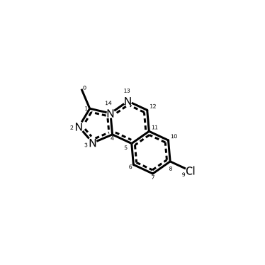 Cc1nnc2c3ccc(Cl)cc3cnn12